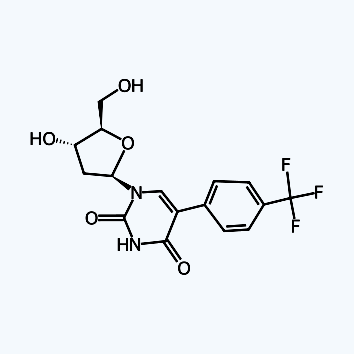 O=c1[nH]c(=O)n([C@H]2C[C@H](O)[C@@H](CO)O2)cc1-c1ccc(C(F)(F)F)cc1